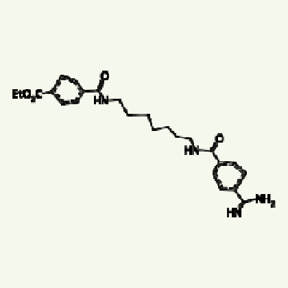 CCOC(=O)c1ccc(C(=O)NCCCCCCCNC(=O)c2ccc(C(=N)N)cc2)cc1